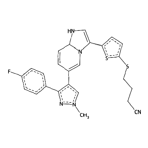 Cn1cc(C2=CN3C(c4ccc(SCCCC#N)s4)=CNC3C=C2)c(-c2ccc(F)cc2)n1